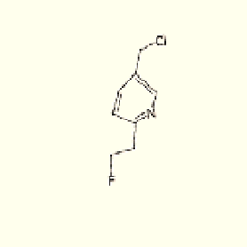 FCCc1ccc(CCl)cn1